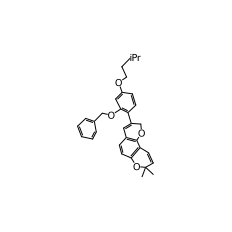 CC(C)CCOc1ccc(C2=Cc3ccc4c(c3OC2)C=CC(C)(C)O4)c(OCc2ccccc2)c1